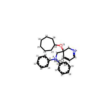 COC1=CC=NCC1(CN(c1ccccc1)c1ccccc1)OC1CCCCCC1